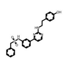 O=S(=O)(Cc1ccccc1)Nc1cccc(-c2ccnc(NCCc3ccc(O)cc3)n2)c1